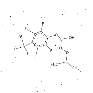 CC(C)OOB(O)Oc1c(F)c(F)c(C(F)(F)F)c(F)c1F